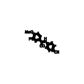 COc1ccc(C(Nc2ccc(C#N)cc2)C(=O)O)cc1F